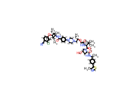 Cc1ncsc1-c1ccc([C@H](C)NC(=O)[C@@H]2C[C@@H](O)CN2C(=O)C(NC(=O)COC(C)CN2CCN(c3ccc(C(=O)NC4C(C)(C)C(Oc5ccc(C#N)c(Cl)c5)C4(C)C)cc3)CC2)C(C)(C)C)cc1